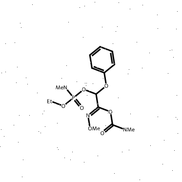 CCOP(=O)(NC)OC(Oc1ccccc1)C(=NOC)OC(=O)NC